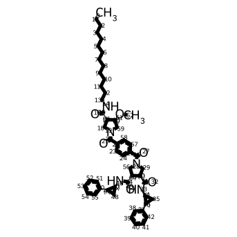 CCCCCCCCCCCCCCNC(=O)[C@H]1CN(C(=O)c2ccc(C(=O)N3C[C@@H](C(=O)N[C@H]4C[C@@H]4c4ccccc4)[C@H](C(=O)N[C@H]4C[C@@H]4c4ccccc4)C3)cc2)C[C@@H]1OC